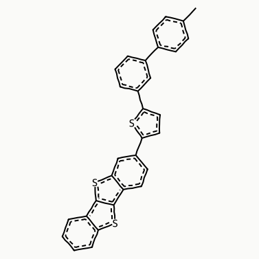 Cc1ccc(-c2cccc(-c3ccc(-c4ccc5c(c4)sc4c6ccccc6sc54)s3)c2)cc1